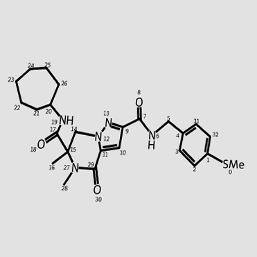 CSc1ccc(CNC(=O)c2cc3n(n2)CC(C)(C(=O)NC2CCCCCC2)N(C)C3=O)cc1